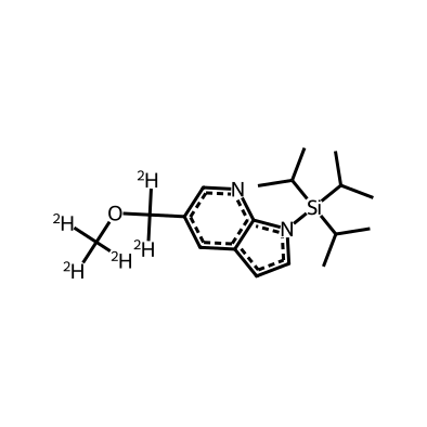 [2H]C([2H])([2H])OC([2H])([2H])c1cnc2c(ccn2[Si](C(C)C)(C(C)C)C(C)C)c1